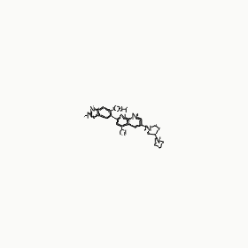 Cn1cc2cc(-c3cc(Cl)c4cc(N5CC[C@@H](N6CCC6)C5)cnc4n3)c(O)cc2n1